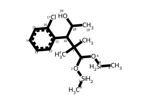 C[SiH2]OC(O[SiH2]C)C(C)(C)C(c1ccccc1Cl)C(C)O